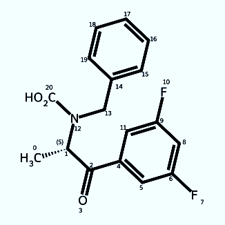 C[C@@H](C(=O)c1cc(F)cc(F)c1)N(Cc1ccccc1)C(=O)O